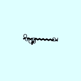 CC(=O)OCC(COCCCCCCCCCCOCI)OC(C)=O